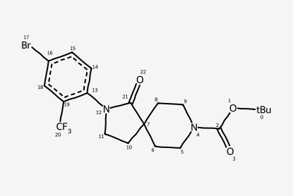 CC(C)(C)OC(=O)N1CCC2(CC1)CCN(c1ccc(Br)cc1C(F)(F)F)C2=O